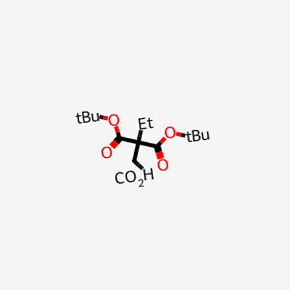 CCC(CC(=O)O)(C(=O)OC(C)(C)C)C(=O)OC(C)(C)C